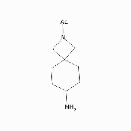 CC(=O)N1CC2(CCC(N)CC2)C1